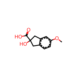 COc1ccc2c(c1)CC(O)(C(=O)O)C2